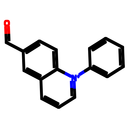 O=Cc1ccc2c(ccc[n+]2-c2ccccc2)c1